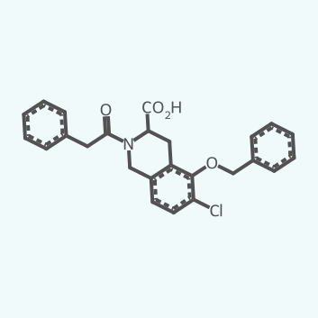 O=C(O)C1Cc2c(ccc(Cl)c2OCc2ccccc2)CN1C(=O)Cc1ccccc1